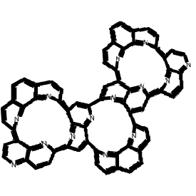 c1cc2c3ccc4ccc5ccc(nc5c4n3)c3cc4nc5c(cc(nc35)c3ccc(n1)c2n3)c1ccc2ccc3ccc(nc3c2n1)c1cc2nc3c(cc4nc13)c1ccc3ccc4ccc(nc4c3n1)c1ccnc3ccc2nc31